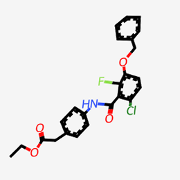 CCOC(=O)Cc1ccc(NC(=O)c2c(Cl)ccc(OCc3ccccc3)c2F)cc1